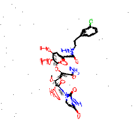 CO[C@H]1[C@@H](O)[C@H](n2ccc(=O)[nH]c2=O)O[C@@H]1[C@@H](O[C@H]1OC(C(=O)NCCc2cccc(Cl)c2)=C[C@H](O)[C@@H]1O)C(N)=O